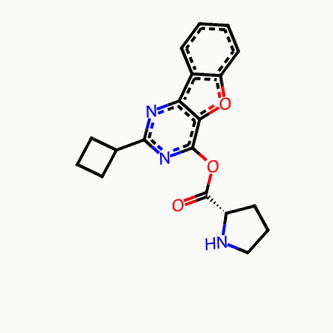 O=C(Oc1nc(C2CCC2)nc2c1oc1ccccc12)[C@@H]1CCCN1